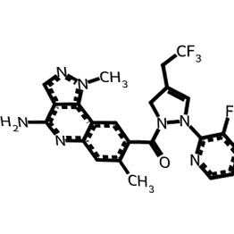 Cc1cc2nc(N)c3cnn(C)c3c2cc1C(=O)N1CC(CC(F)(F)F)=CN1c1ncccc1F